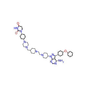 Nc1ncnc2c1c(-c1ccc(Oc3ccccc3)cc1)nn2C1CCN(CCN2CCC(CN3CCN(c4ccc(-n5ccc(=O)[nH]c5=O)cc4)CC3)CC2)CC1